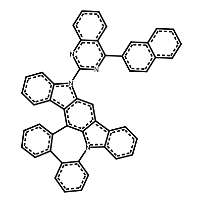 c1ccc2c(c1)-c1ccccc1-n1c3ccccc3c3cc4c(c-2c31)c1ccccc1n4-c1nc(-c2ccc3ccccc3c2)c2ccccc2n1